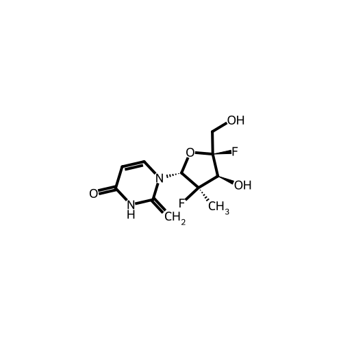 C=C1NC(=O)C=CN1[C@@H]1O[C@](F)(CO)[C@@H](O)[C@@]1(C)F